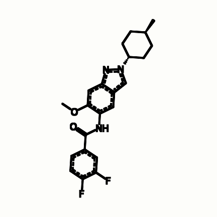 COc1cc2nn([C@H]3CC[C@H](C)CC3)cc2cc1NC(=O)c1ccc(F)c(F)c1